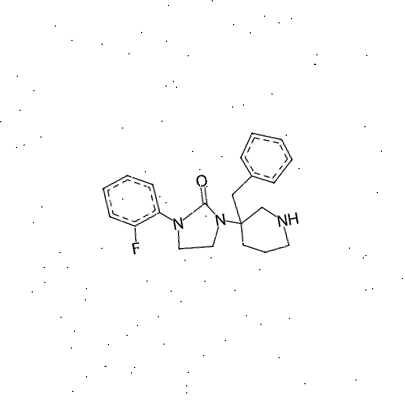 O=C1N(c2ccccc2F)CCN1C1(Cc2ccccc2)CCCNC1